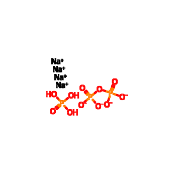 O=P(O)(O)O.O=P([O-])([O-])OP(=O)([O-])[O-].[Na+].[Na+].[Na+].[Na+]